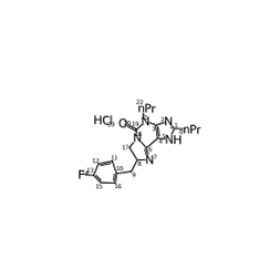 CCCc1nc2c([nH]1)C1=NC(Cc3ccc(F)cc3)CN1C(=O)N2CCC.Cl